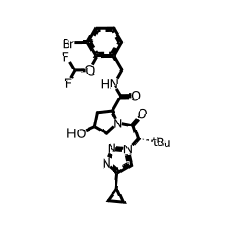 CC(C)(C)[C@@H](C(=O)N1CC(O)CC1C(=O)NCc1cccc(Br)c1OC(F)F)n1cc(C2CC2)nn1